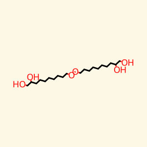 OCC(O)CCCCCCCCOOCCCCCCCCC(O)CO